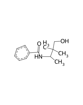 CC(NC(=O)c1ccccc1)C(C)(C)CO